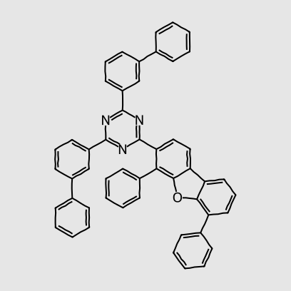 c1ccc(-c2cccc(-c3nc(-c4cccc(-c5ccccc5)c4)nc(-c4ccc5c(oc6c(-c7ccccc7)cccc65)c4-c4ccccc4)n3)c2)cc1